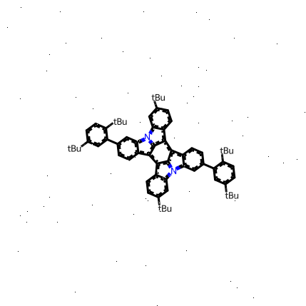 CC(C)(C)c1ccc(C(C)(C)C)c(-c2ccc3c4c5c6ccc(C(C)(C)C)cc6n6c7cc(-c8cc(C(C)(C)C)ccc8C(C)(C)C)ccc7c(c7c8ccc(C(C)(C)C)cc8n(c3c2)c47)c56)c1